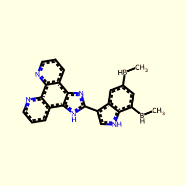 CBc1cc(BC)c2[nH]cc(-c3nc4c5cccnc5c5ncccc5c4[nH]3)c2c1